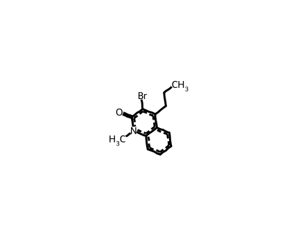 CCCc1c(Br)c(=O)n(C)c2ccccc12